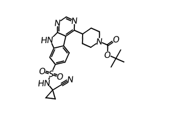 CC(C)(C)OC(=O)N1CCC(c2ncnc3[nH]c4cc(S(=O)(=O)NC5(C#N)CC5)ccc4c23)CC1